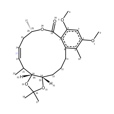 COc1cc(OC)c2c(c1C)CCC[C@@H]1OC(C)(C)O[C@@H]1C(C)/C=C\C[C@H](C)OC2=O